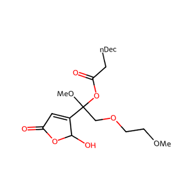 CCCCCCCCCCCC(=O)OC(COCCOC)(OC)C1=CC(=O)OC1O